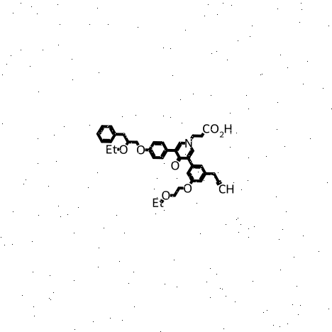 C#CCc1cc(OCCOCC)cc(-c2cn(CCC(=O)O)cc(-c3ccc(OCC(Cc4ccccc4)OCC)cc3)c2=O)c1